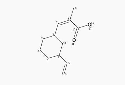 C=CC1CCCC(C=C(C)C(=O)O)C1